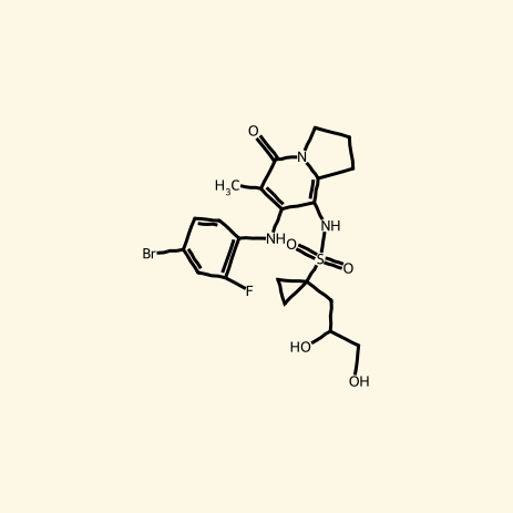 Cc1c(Nc2ccc(Br)cc2F)c(NS(=O)(=O)C2(CC(O)CO)CC2)c2n(c1=O)CCC2